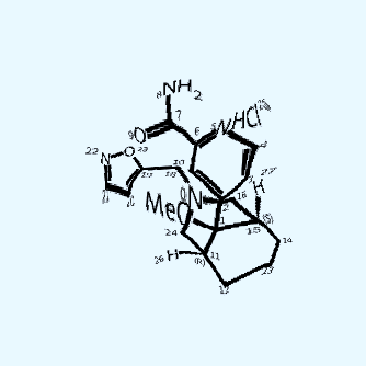 COC1(c2ccnc(C(N)=O)c2)[C@@H]2CCC[C@H]1CN(Cc1ccno1)C2.Cl